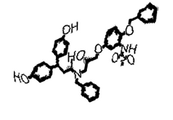 C[C@H](CC(c1ccc(O)cc1)c1ccc(O)cc1)N(Cc1ccccc1)C[C@@H](O)COc1ccc(OCc2ccccc2)c(NS(C)(=O)=O)c1